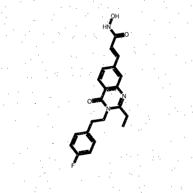 CCc1nc2cc(/C=C/C(=O)NO)ccc2c(=O)n1CCc1ccc(F)cc1